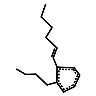 CCCCC=Cc1ccccc1CCCC